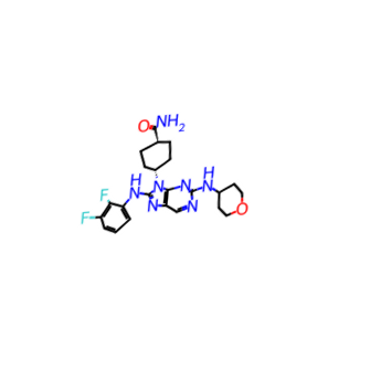 NC(=O)[C@H]1CC[C@H](n2c(Nc3cccc(F)c3F)nc3cnc(NC4CCOCC4)nc32)CC1